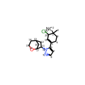 CC1(C#N)CCC(c2ccnn2C2CC3CCOC2C3)=CC1Cl